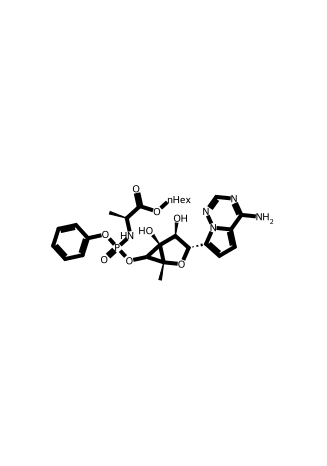 CCCCCCOC(=O)[C@H](C)NP(=O)(Oc1ccccc1)OC1[C@@]2(C)O[C@@H](c3ccc4c(N)ncnn34)[C@H](O)[C@@]12O